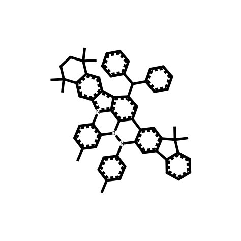 Cc1ccc(N2B3c4cc(C)ccc4-n4c5cc6c(cc5c5c(C(c7ccccc7)c7ccccc7)cc(c3c54)-c3cc4c(cc32)-c2ccccc2C4(C)C)C(C)(C)CCC6(C)C)cc1